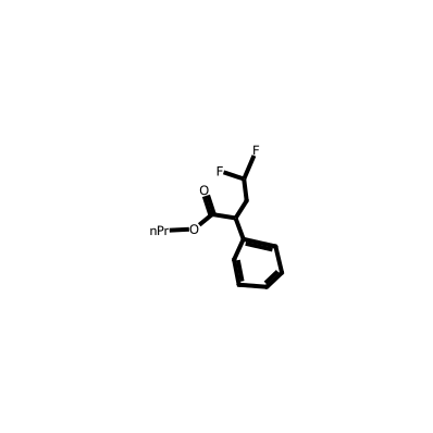 CCCOC(=O)C(CC(F)F)c1ccccc1